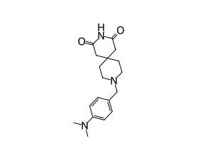 CN(C)c1ccc(CN2CCC3(CC2)CC(=O)NC(=O)C3)cc1